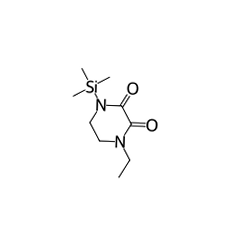 CCN1CCN([Si](C)(C)C)C(=O)C1=O